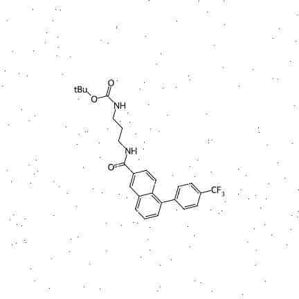 CC(C)(C)OC(=O)NCCCNC(=O)c1ccc2c(-c3ccc(C(F)(F)F)cc3)cccc2c1